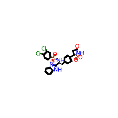 O=C1CC(c2ccc(C[C@H](NS(=O)(=O)c3ccc(Cl)c(Cl)c3)c3nc4ccccc4[nH]3)cc2)S(=O)(=O)N1